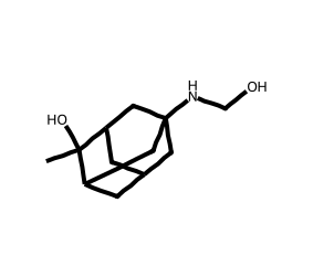 CC1(O)C2CC3CC1CC(NCO)(C3)C2